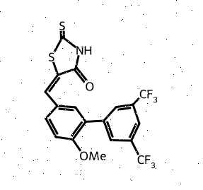 COc1ccc(C=C2SC(=S)NC2=O)cc1-c1cc(C(F)(F)F)cc(C(F)(F)F)c1